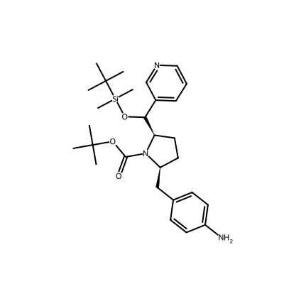 CC(C)(C)OC(=O)N1[C@H](Cc2ccc(N)cc2)CC[C@@H]1C(O[Si](C)(C)C(C)(C)C)c1cccnc1